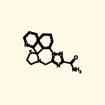 NC(=O)c1nc2n(n1)-c1ccccc1C1(c3ccccn3)SCCN1C2